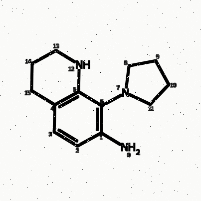 Nc1ccc2c(c1N1CCCC1)NCCC2